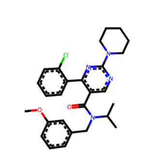 COc1cccc(CN(C(=O)c2cnc(N3CCCCC3)nc2-c2ccccc2Cl)C(C)C)c1